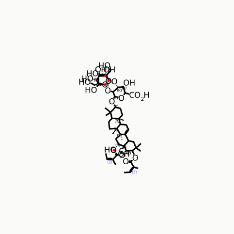 C/C=C(/C)C(=O)OC1[C@H](OC(=O)/C(C)=C\C)[C@@]2(CO)C(CC1(C)C)C1=CCC3[C@@]4(C)CC[C@H](O[C@@H]5OC(C(=O)O)[C@@H](O)[C@@H](O[C@@H]6O[C@@H](CO)C(O)[C@@H]6O)C5O[C@@H]5OC(CO)[C@H](O)[C@@H](O)C5O)C(C)(C)C4CC[C@@]3(C)[C@]1(C)C[C@H]2O